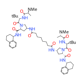 CN[C@@H](C)C(=O)N[C@H](C(=O)N1C[C@@H](NC(=O)CCCCCCC(=O)N[C@H]2C[C@@H](C(=O)N[C@@H]3CCCc4ccccc43)N(C(=O)[C@@H](NC(=O)[C@H](C)NC)C(C)(C)C)C2)C[C@H]1C(=O)N[C@@H]1CCCc2ccccc21)C(C)(C)C